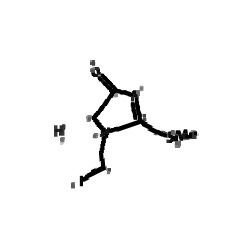 CSC1=NC(=O)CN1CI.I